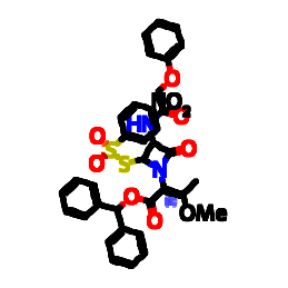 CO/C(C)=C(\C(=O)OC(c1ccccc1)c1ccccc1)N1C(=O)C(NC(=O)COc2ccccc2)C1SS(=O)(=O)c1ccc([N+](=O)[O-])cc1